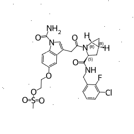 CS(=O)(=O)OCCOc1ccc2c(c1)c(CC(=O)N1[C@@H]3C[C@@H]3C[C@H]1C(=O)NCc1cccc(Cl)c1F)cn2C(N)=O